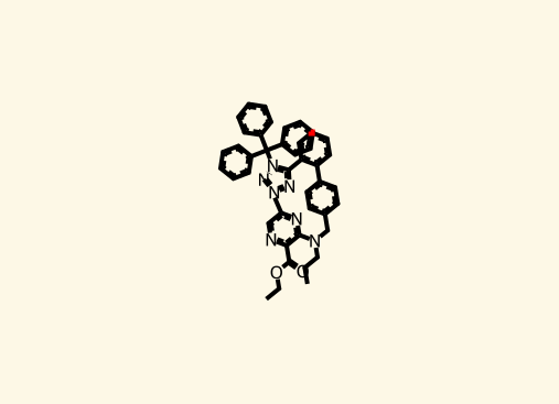 CCCN(Cc1ccc(-c2ccccc2-c2nnnn2C(c2ccccc2)(c2ccccc2)c2ccccc2)cc1)c1nc(C)cnc1C(=O)OCC